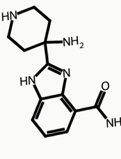 NC(=O)c1cccc2[nH]c(C3(N)CCNCC3)nc12